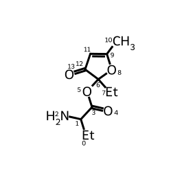 CCC(N)C(=O)OC1(CC)OC(C)=CC1=O